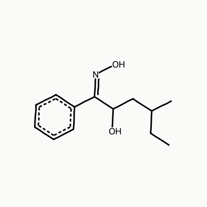 CCC(C)CC(O)C(=NO)c1ccccc1